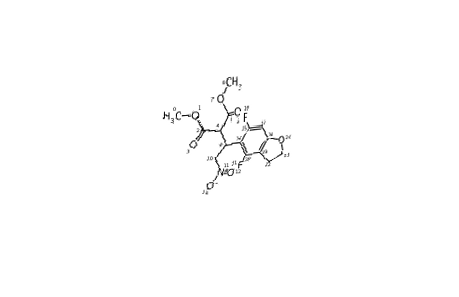 COC(=O)C(C(=O)OC)C(C[N+](=O)[O-])c1c(F)cc2c(c1F)CCO2